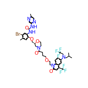 Cc1cnc(NC(=O)Nc2cc(Br)c(C)cc2OC[C@@H]2CN(C(=O)CCCOCCn3c(=O)cc(C(F)(F)F)c4cc(N(CC(C)C)CC(F)(F)F)ccc43)CCO2)cn1